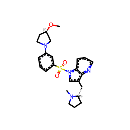 CO[C@@H]1CCN(c2cccc(S(=O)(=O)n3cc(C[C@@H]4CCCN4C)c4ncccc43)c2)C1